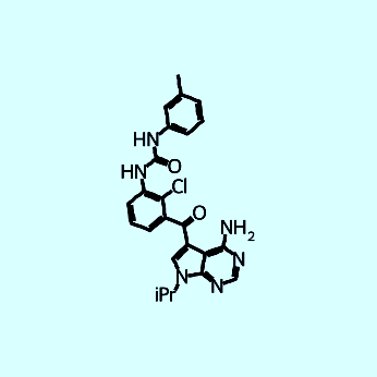 Cc1cccc(NC(=O)Nc2cccc(C(=O)c3cn(C(C)C)c4ncnc(N)c34)c2Cl)c1